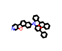 c1ccc(-c2ccc(N(c3ccc4c(ccc5c6ccncc6oc45)c3)c3ccccc3-c3ccc4ccccc4c3)cc2)cc1